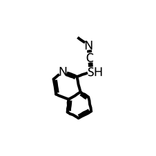 CN=C=[SH]c1nccc2ccccc12